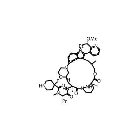 CCn1c(-c2cccnc2[C@H](C)OC)c2c3cc(ccc31)N1CCO[C@H](C1)C[C@](C)(NC(=O)[C@H](C(C)C)N(C)C(=O)C1(F)CCNCC1)C(=O)N1CCC[C@H](N1)C(=O)OCC(C)C2